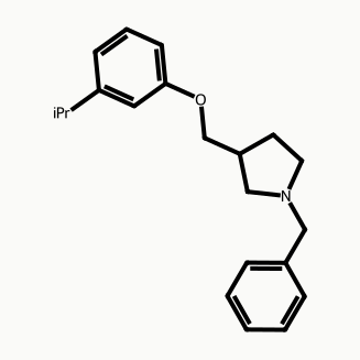 CC(C)c1cccc(OCC2CCN(Cc3ccccc3)C2)c1